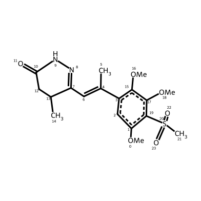 COc1cc(C(C)=CC2=NNC(=O)CC2C)c(OC)c(OC)c1S(C)(=O)=O